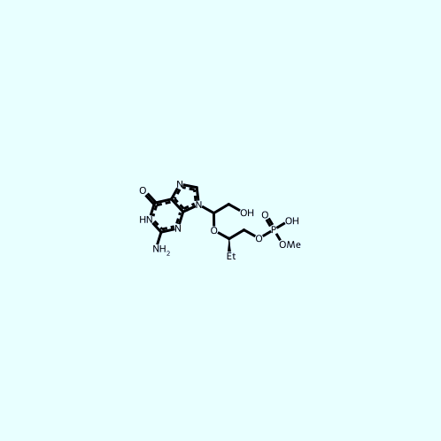 CC[C@H](COP(=O)(O)OC)OC(CO)n1cnc2c(=O)[nH]c(N)nc21